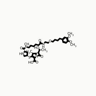 COc1ccc(CCCCOCCNC(=O)CCCCCN(C)C(=O)[C@@H]2C[C@H](SC3=C(C(=O)O)N4C(=O)[C@H]([C@@H](C)O)C4[C@H]3C)CN2)cc1OC